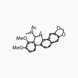 COc1ccc2c(c1OC)C(N(C)C(C)=O)N(C)c1c-2ccc2cc3c(cc12)OCO3